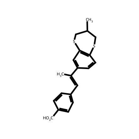 CC(=Cc1ccc(C(=O)O)cc1)c1ccc2c(c1)SCC(C)CS2